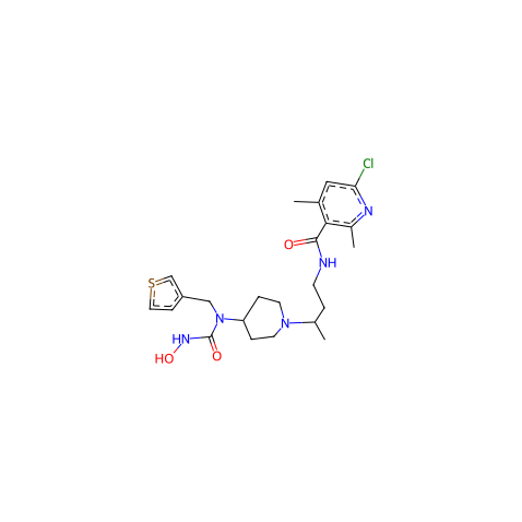 Cc1cc(Cl)nc(C)c1C(=O)NCCC(C)N1CCC(N(Cc2ccsc2)C(=O)NO)CC1